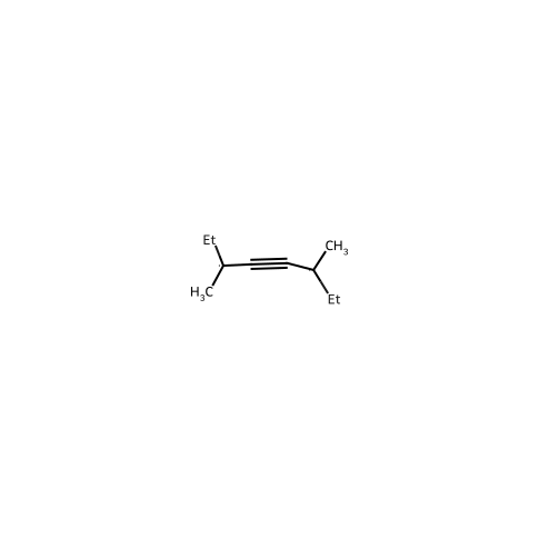 CC[C](C)C#C[C](C)CC